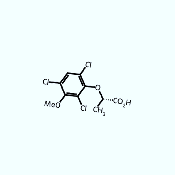 COc1c(Cl)cc(Cl)c(O[C@@H](C)C(=O)O)c1Cl